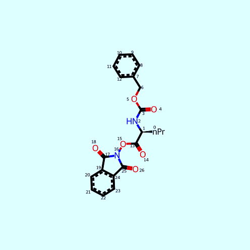 CCC[C@H](NC(=O)OCc1ccccc1)C(=O)ON1C(=O)c2ccccc2C1=O